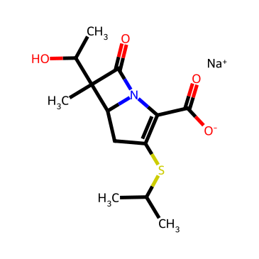 CC(C)SC1=C(C(=O)[O-])N2C(=O)C(C)(C(C)O)C2C1.[Na+]